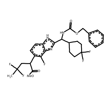 COC(=O)C(CC(C)(F)F)c1ccc2[nH]c(C(NC(=O)OCc3ccccc3)C3CCC(F)(F)CC3)nc2c1F